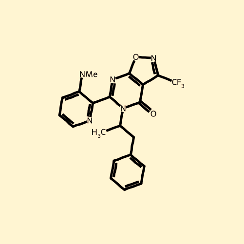 CNc1cccnc1-c1nc2onc(C(F)(F)F)c2c(=O)n1C(C)Cc1ccccc1